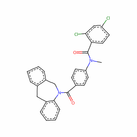 CN(C(=O)c1ccc(Cl)cc1Cl)c1ccc(C(=O)N2Cc3ccccc3Cc3ccccc32)cc1